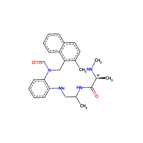 CN[C@@H](C)C(=O)NC(C)CNc1ccccc1N(C=O)Cc1c(C)ccc2ccccc12